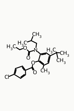 CCOC(=O)N(CC(C)C)c1cc(C(C)(C)C)cc(C)c1OC(=O)c1ccc(Cl)cc1